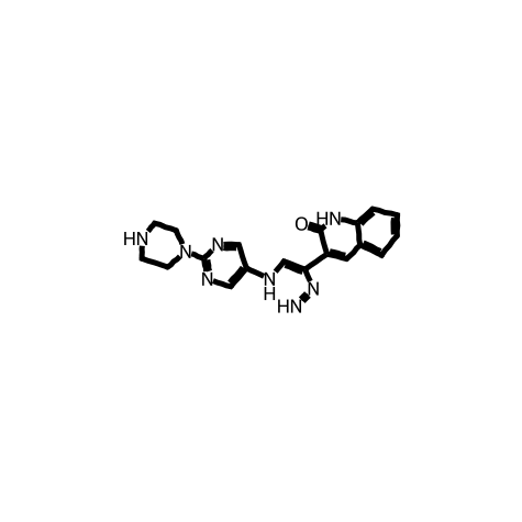 N=N/C(=C\Nc1cnc(N2CCNCC2)nc1)c1cc2ccccc2[nH]c1=O